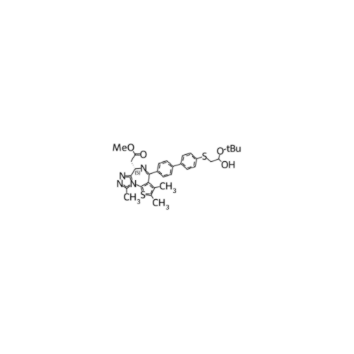 COC(=O)C[C@@H]1N=C(c2ccc(-c3ccc(SCC(O)OC(C)(C)C)cc3)cc2)c2c(sc(C)c2C)-n2c(C)nnc21